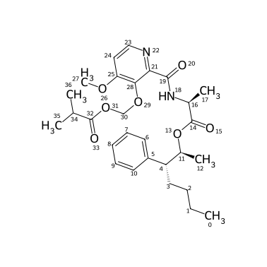 CCCC[C@H](c1ccccc1)[C@H](C)OC(=O)[C@H](C)NC(=O)c1nccc(OC)c1OCOC(=O)C(C)C